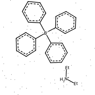 CC[NH2+]CC.c1ccc([B-](c2ccccc2)(c2ccccc2)c2ccccc2)cc1